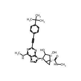 CNC(=O)[C@]12CC1[C@@H](n1cnc3c(NC)nc(C#Cc4ccc(C(C)(C)C)cc4)nc31)C(O)[C@@H]2O